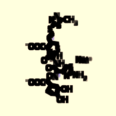 Cc1nnc(S/C=C/C2=C(C(=O)[O-])N3C(=O)[C@@H](NC(=O)/C(=N\O[C@@H](C(=O)[O-])c4ccc(O)c(O)c4)c4csc(N)n4)[C@@H]3SC2)s1.[Na+].[Na+]